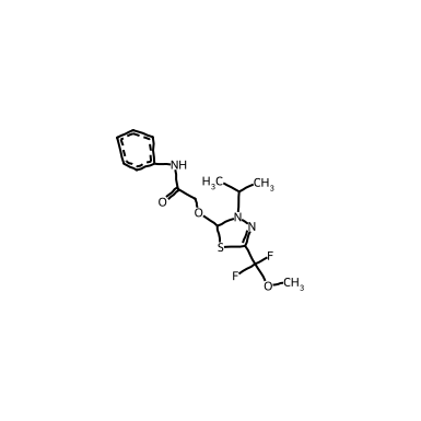 COC(F)(F)C1=NN(C(C)C)C(OCC(=O)Nc2ccccc2)S1